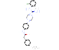 COc1ccc(CC(=O)Nc2ccc(N3CCN(C(=N)Nc4c(C)cccc4Cl)CC3)cc2)cc1